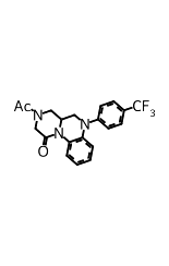 CC(=O)N1CC(=O)N2c3ccccc3N(c3ccc(C(F)(F)F)cc3)CC2C1